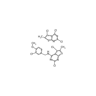 COc1ccc(CNc2nc(Cl)nc3sc(C)c(Cl)c23)cc1Cl.Cc1sc2nc(Cl)nc(Cl)c2c1Cl